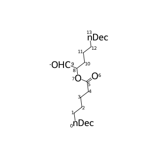 CCCCCCCCCCCCCCC(=O)OC([C]=O)CCCCCCCCCCCCC